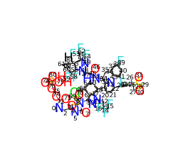 CN(CCN(C)C(=O)N(c1nn(CC(F)(F)F)c2c(-c3ccc(C#CC(C)(C)S(C)(=O)=O)nc3[C@H](Cc3cc(F)cc(F)c3)NC(=O)Cn3nc(C(F)(F)F)c4c3C(F)(F)C3C[C@H]43)ccc(Cl)c12)S(C)(=O)=O)C(=O)OCOP(=O)(O)O